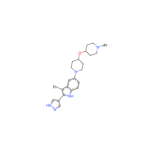 CCc1c(-c2cn[nH]c2)[nH]c2ccc(N3CCC(OC4CCN(C(C)C)CC4)CC3)cc12